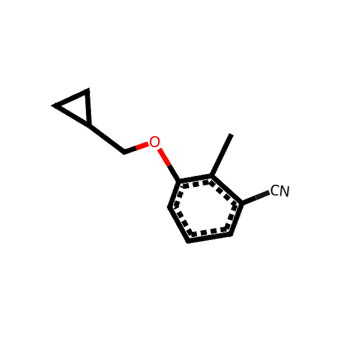 Cc1c(C#N)cccc1OCC1CC1